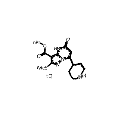 CCCOC(=O)c1c(SC)nn2c(C3CCNCC3)cc(=O)[nH]c12.Cl